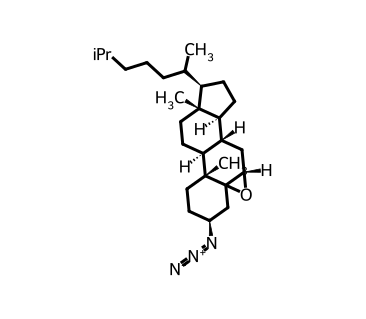 CC(C)CCCC(C)[C@H]1CC[C@H]2[C@@H]3C[C@@H]4OC45C[C@@H](N=[N+]=[N-])CC[C@]5(C)[C@H]3CC[C@]12C